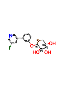 O[C@@H]1[C@@H](O)[C@@H](Oc2cccc(-c3cncc(F)c3)c2)SC[C@H]1O